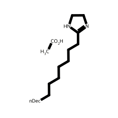 CC(=O)O.CCCCCCCCCCCCCCCCCC1=NCCN1